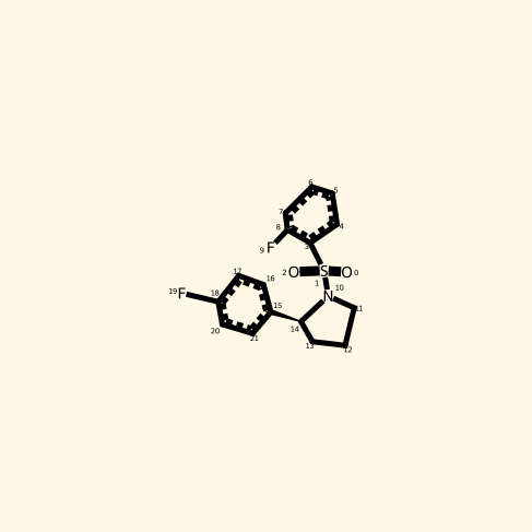 O=S(=O)(c1ccccc1F)N1CCC[C@H]1c1ccc(F)cc1